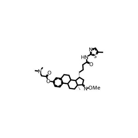 CO/N=C1\C[C@@H](CCCC(=O)Nc2ncc(C)s2)C2C3CCc4cc(OC(=O)CN(C)C)ccc4C3CC[C@]12C